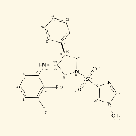 Cn1cnc(S(=O)(=O)N2C[C@H](Nc3cccc(F)c3F)[C@@H](c3ccccc3)C2)c1